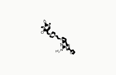 Cn1cc(CN2CCN(CCn3ccc4c3nc(N)n3nc(-c5ccco5)nc43)CC2)c(=O)n(C)c1=O